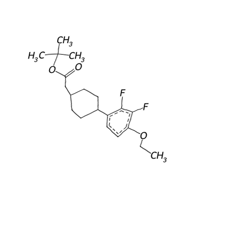 CCOc1ccc(C2CCC(CC(=O)OC(C)(C)C)CC2)c(F)c1F